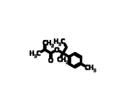 C=C(C)C(=O)OC(C)(CC)c1ccc(C)cc1